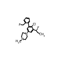 CC[C@H](F)c1cc(N2CCN(C)CC2)cc(-c2ccccc2CF)c1Cl